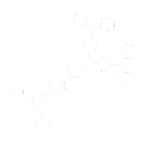 c1ccc(-c2cc(-c3ccccc3)nc(-c3ccc(-c4ccc(-n5c6ccc(N(c7ccccc7)c7ccccc7)cc6c6cc(N(c7ccccc7)c7ccccc7)ccc65)cc4)cc3)n2)cc1